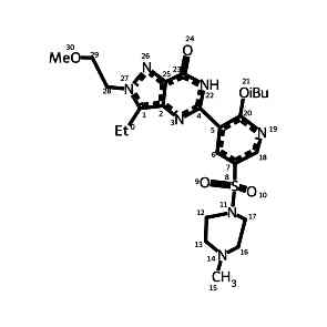 CCc1c2nc(-c3cc(S(=O)(=O)N4CCN(C)CC4)cnc3OCC(C)C)[nH]c(=O)c2nn1CCOC